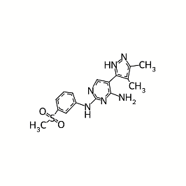 Cc1n[nH]c(-c2cnc(Nc3cccc(S(C)(=O)=O)c3)nc2N)c1C